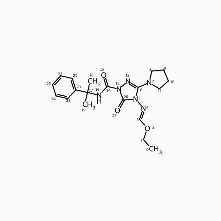 CCOC=Nn1c(N2CCCC2)nn(C(=O)NC(C)(C)c2ccccc2)c1=O